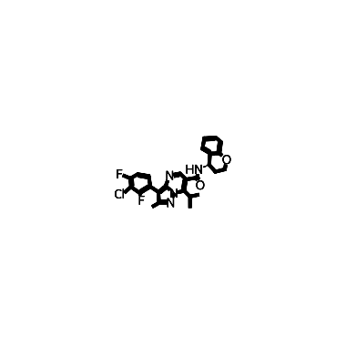 Cc1nn2c(C(C)C)c(C(=O)N[C@H]3CCOc4ccccc43)cnc2c1-c1ccc(F)c(Cl)c1F